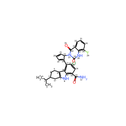 CC(C)C1CCc2c([nH]c3c(C(N)=O)cc(Cl)c(C4=CC=CC4n4c(=O)[nH]c5c(F)cccc5c4=O)c23)C1